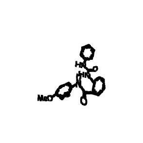 COc1ccc(NC(=O)c2ccccc2NC(=O)Nc2ccccc2)cc1